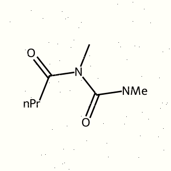 CCCC(=O)N(C)C(=O)NC